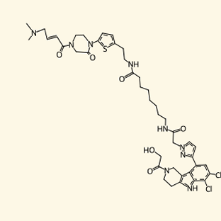 CN(C)C/C=C/C(=O)N1CCN(c2ccc(CCNC(=O)CCCCCCCNC(=O)Cn3ccc(-c4cc(Cl)c(Cl)c5[nH]c6c(c45)CN(C(=O)CO)CC6)n3)s2)C(=O)C1